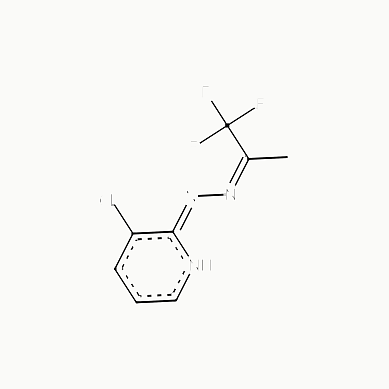 CC(=NN=c1[nH]cccc1Cl)C(F)(F)F